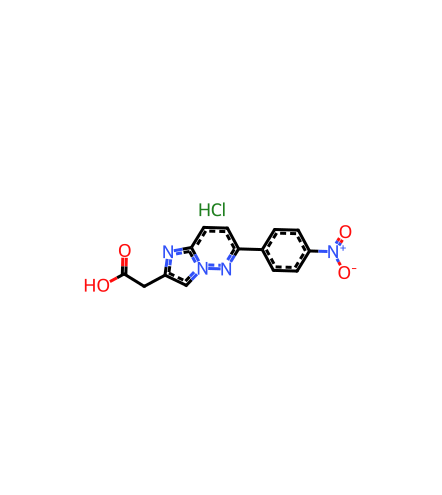 Cl.O=C(O)Cc1cn2nc(-c3ccc([N+](=O)[O-])cc3)ccc2n1